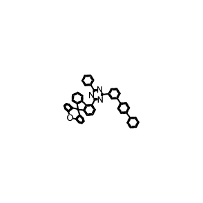 c1ccc(-c2ccc(-c3cccc(-c4nc(-c5ccccc5)nc(-c5cccc6c5-c5ccccc5C65c6ccccc6Oc6ccccc65)n4)c3)cc2)cc1